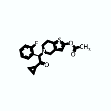 CC(=O)Oc1cc2c(s1)CCN([C@@H](C(=O)C1CC1)c1ccccc1F)C2